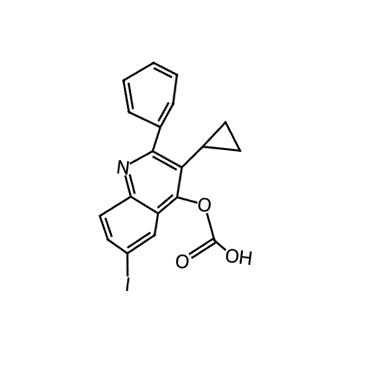 O=C(O)Oc1c(C2CC2)c(-c2ccccc2)nc2ccc(I)cc12